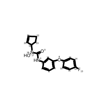 O=C(Nc1cccc(Oc2ccc(F)cc2)c1)N(O)C1C=CCC1